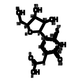 O=C(O)Cc1cn([C@H]2O[C@@H](CO)C(O)C2O)c(=S)[nH]c1=O